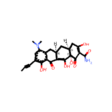 CC#Cc1cc(N(C)C)c2c(c1O)C(=O)C1=C(O)[C@]3(O)C(=O)C(C(N)=O)=C(O)C[C@@H]3C[C@@H]1C2